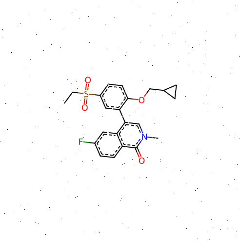 CCS(=O)(=O)c1ccc(OCC2CC2)c(-c2cn(C)c(=O)c3ccc(F)cc23)c1